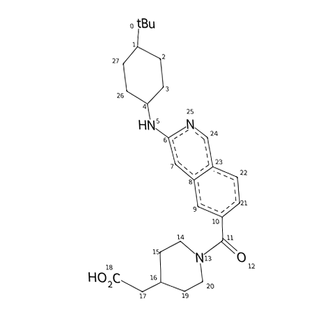 CC(C)(C)C1CCC(Nc2cc3cc(C(=O)N4CCC(CC(=O)O)CC4)ccc3cn2)CC1